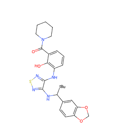 CC(C)(C)C(Nc1nsnc1Nc1cccc(C(=O)N2CCCCC2)c1O)c1ccc2c(c1)OCO2